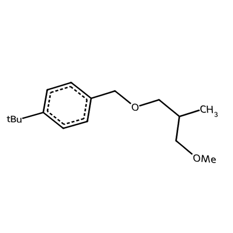 COCC(C)COCc1ccc(C(C)(C)C)cc1